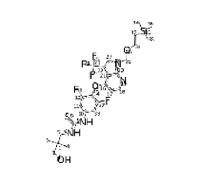 CC(C)(CO)CNC(=S)Nc1cc(F)c(Oc2ccnc3c2c(C(F)(F)F)cn3COCC[Si](C)(C)C)c(F)c1